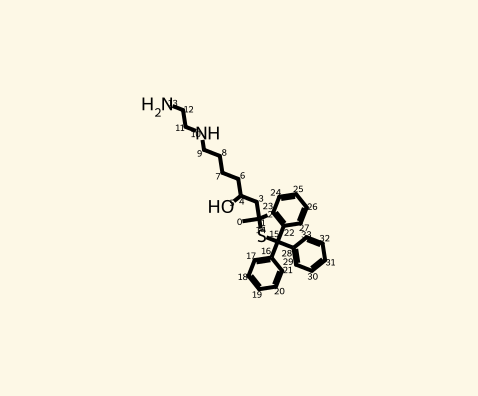 CC(C)(CC(O)CCCCNCCN)SC(c1ccccc1)(c1ccccc1)c1ccccc1